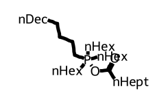 CCCCCCCCCCCCCCP(CCCCCC)(CCCCCC)(CCCCCC)OC(=O)CCCCCCC